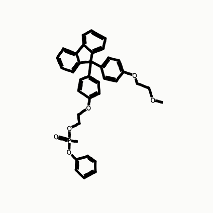 COCCOc1ccc(C2(c3ccc(OCCOP(C)(=O)Oc4ccccc4)cc3)c3ccccc3-c3ccccc32)cc1